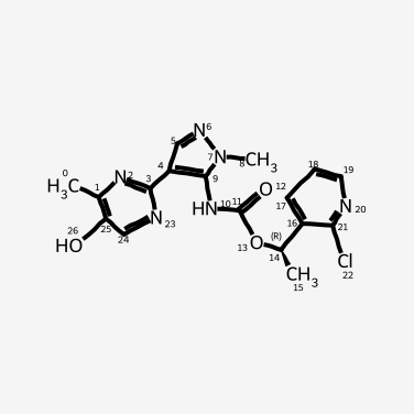 Cc1nc(-c2cnn(C)c2NC(=O)O[C@H](C)c2cccnc2Cl)ncc1O